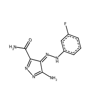 NC(=O)C1=NN=C(N)C1=NNc1cccc(F)c1